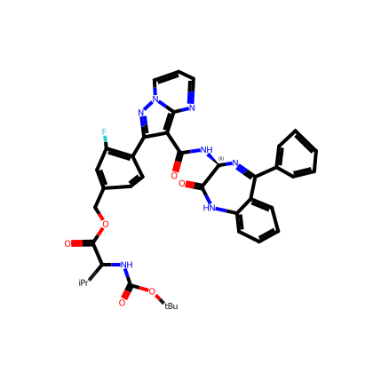 CC(C)C(NC(=O)OC(C)(C)C)C(=O)OCc1ccc(-c2nn3cccnc3c2C(=O)N[C@H]2N=C(c3ccccc3)c3ccccc3NC2=O)c(F)c1